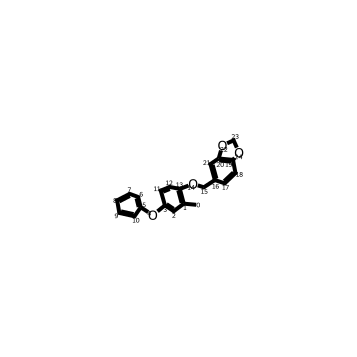 Cc1cc(Oc2ccccc2)ccc1OCc1ccc2c(c1)OCO2